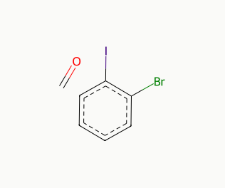 Brc1ccccc1I.C=O